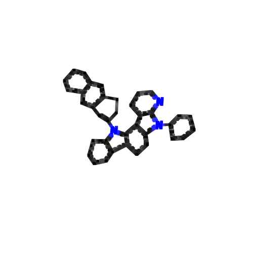 C1=C(n2c3ccccc3c3ccc4c(c5cccnc5n4-c4ccccc4)c32)CCc2cc3ccccc3cc21